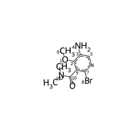 COc1c(N)ccc(Br)c1C(=O)N(C)C